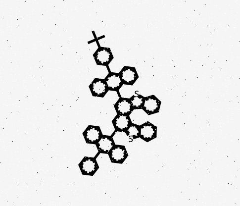 CC(C)(C)c1ccc(-c2c3ccccc3c(-c3cc4cc(-c5c6ccccc6c(-c6ccccc6)c6ccccc56)c5sc6ccccc6c5c4c4c3sc3ccccc34)c3ccccc23)cc1